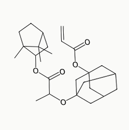 C=CC(=O)OC12CC3CC(C1)CC(OC(C)C(=O)OC1CC4CCC1(C)C4(C)C)(C3)C2